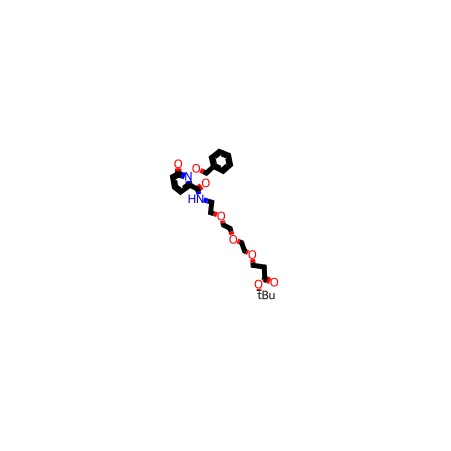 CC(C)(C)OC(=O)CCOCCOCCOCCNC(=O)c1cccc(=O)n1OCc1ccccc1